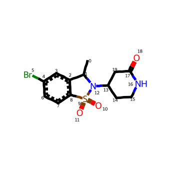 CC1c2cc(Br)ccc2S(=O)(=O)N1C1CCNC(=O)C1